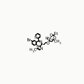 CCC(=O)OC(C)(C)CC(=O)OCC[C@@H]1N=C(c2ccccn2)c2cc(Br)ccc2-n2c(C)cnc21